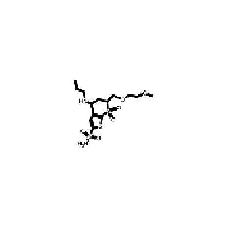 CCCNC1CC(COCCOC)S(=O)(=O)c2sc(S(N)(=O)=O)cc21